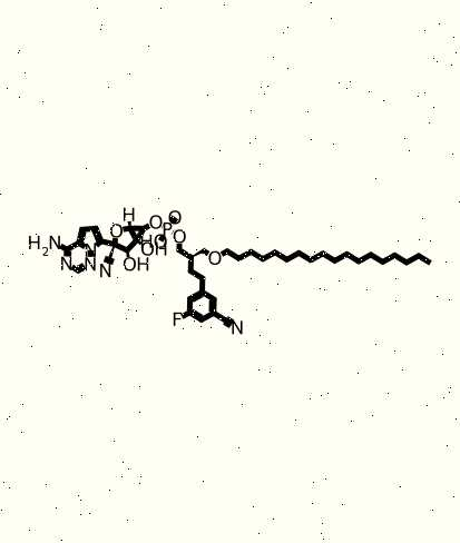 CCCCCCCCCCCCCCCCCCOC[C@@H](CCc1cc(F)cc(C#N)c1)COP(=O)(O)OC1[C@H]2O[C@@](C#N)(c3ccc4c(N)ncnn34)[C@H](O)[C@@]12O